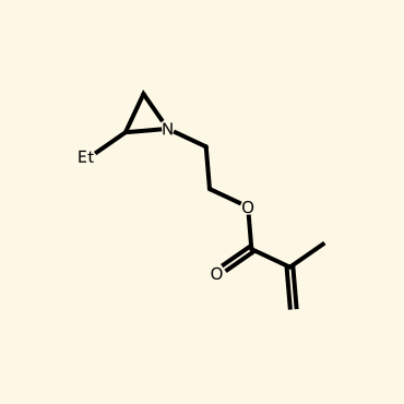 C=C(C)C(=O)OCCN1CC1CC